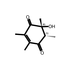 CC1=C(C)C(=O)[C@](C)(O)[C@H](C)C1=O